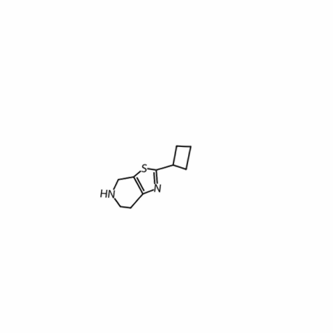 C1CC(c2nc3c(s2)CNCC3)C1